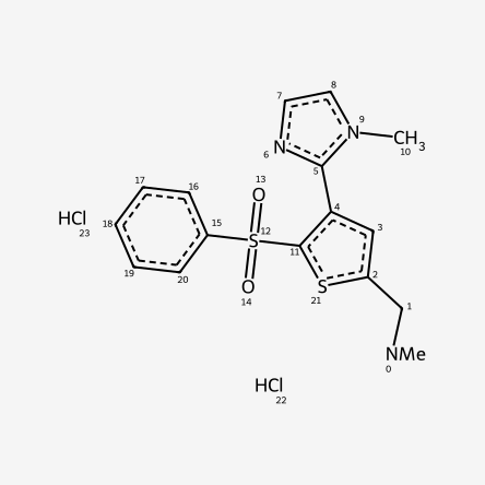 CNCc1cc(-c2nccn2C)c(S(=O)(=O)c2ccccc2)s1.Cl.Cl